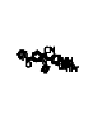 CCCS(=O)(=O)Nc1ccc(-c2c(C#N)c3ccc(C(=O)N4CCCC4)cc3n2C2CCC2)cc1